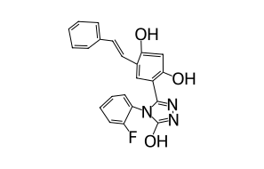 Oc1cc(O)c(-c2nnc(O)n2-c2ccccc2F)cc1C=Cc1ccccc1